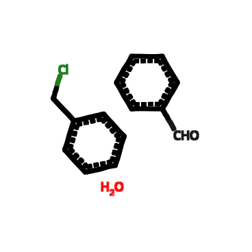 ClCc1ccccc1.O.O=Cc1ccccc1